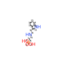 O=P(O)(O)C=CCNCCc1c[nH]c2ccccc12